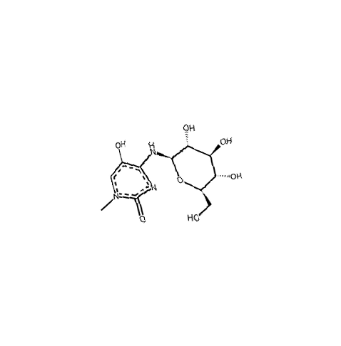 Cn1cc(O)c(N[C@@H]2O[C@H](CO)[C@@H](O)[C@H](O)[C@H]2O)nc1=O